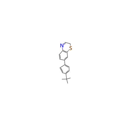 CC(C)(C)c1ccc(-c2ccc3c(c2)SCC=N3)cc1